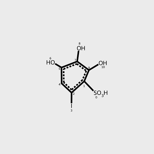 O=S(=O)(O)c1c(I)cc(O)c(O)c1O